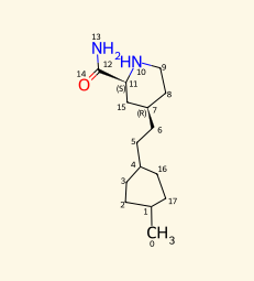 CC1CCC(CC[C@@H]2CCN[C@H](C(N)=O)C2)CC1